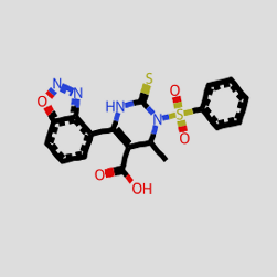 CC1C(C(=O)O)=C(c2cccc3onnc23)NC(=S)N1S(=O)(=O)c1ccccc1